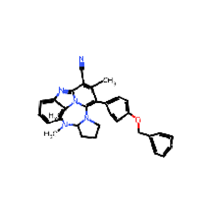 Cc1c(-c2ccc(OCc3ccccc3)cc2)c(N2CCCC2N(C)C)n2c(nc3ccccc32)c1C#N